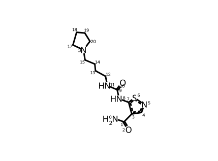 NC(=O)c1cnsc1NC(=O)NCCCCN1CCCC1